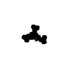 CC1(C)c2cc(N(c3ccc(-c4ccc(-c5ccc6c7ccccc7n(-c7ccccc7)c6c5)cc4)cc3)c3ccc(-n4c5ccccc5c5ccccc54)cc3)ccc2-c2ccc(-n3c4ccccc4c4ccccc43)cc21